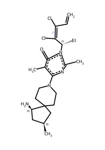 C=C/C(Cl)=C(/Cl)[C@H](CC)n1c(C)nc(N2CCC3(CC2)C[C@@H](C)C[C@H]3N)c(C)c1=O